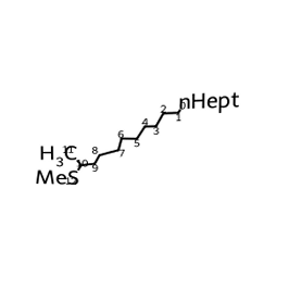 [CH2]CCCCCCCCCCCCCCCC(C)SC